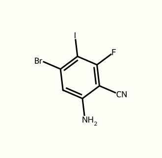 N#Cc1c(N)cc(Br)c(I)c1F